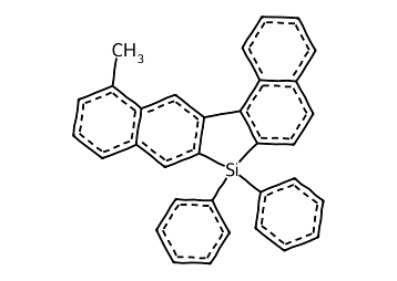 Cc1cccc2cc3c(cc12)-c1c(ccc2ccccc12)[Si]3(c1ccccc1)c1ccccc1